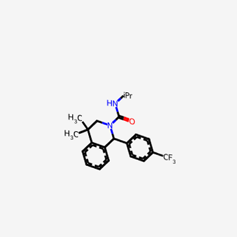 CC(C)NC(=O)N1CC(C)(C)c2ccccc2C1c1ccc(C(F)(F)F)cc1